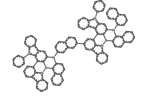 c1ccc(-n2c3ccccc3c3c4c5c(cc32)N(c2cccc3ccccc23)c2c(ccc3ccccc23)B5n2c3ccccc3c3cc(-c5ccc6ccc(N7c8cc9c%10ccccc%10n(-c%10ccccc%10)c9c9c8B(c8c7ccc7ccccc87)n7c8ccccc8c8cccc-9c87)cc6c5)cc-4c32)cc1